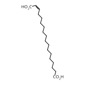 O=C(O)/C=C\CCCCCCCCCCCCCCC(=O)O